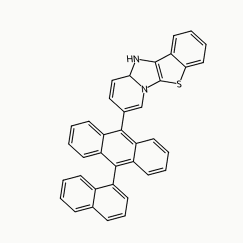 C1=CC2Nc3c(sc4ccccc34)N2C=C1c1c2ccccc2c(-c2cccc3ccccc23)c2ccccc12